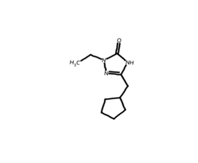 CCn1nc(CC2CCCC2)[nH]c1=O